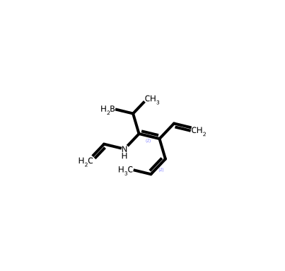 BC(C)/C(NC=C)=C(C=C)/C=C\C